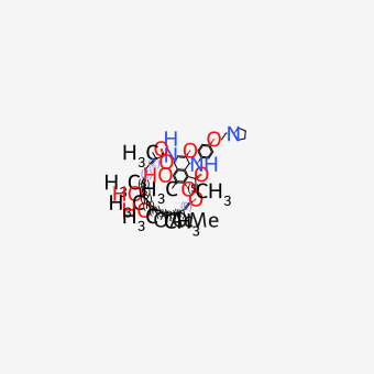 CO[C@H]1/C=C/O[C@@]2(C)Oc3c(C)c(O)c4c(c3C2=O)C2Nc3ccc(OCCN5CCCC5)cc3OC2=C(NC(=O)/C(C)=C\C=C\[C@H](C)[C@H](O)[C@@H](C)[C@@H](O)[C@@H](C)[C@H](OC(C)=O)[C@@H]1C)C4=O